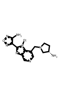 CCn1c(-c2nonc2N)nc2cncc(CN3CC[C@H](N)C3)c21